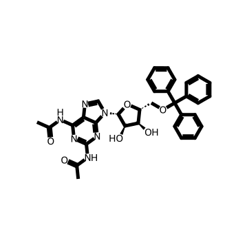 CC(=O)Nc1nc(NC(C)=O)c2ncn([C@@H]3O[C@H](COC(c4ccccc4)(c4ccccc4)c4ccccc4)[C@@H](O)[C@H]3O)c2n1